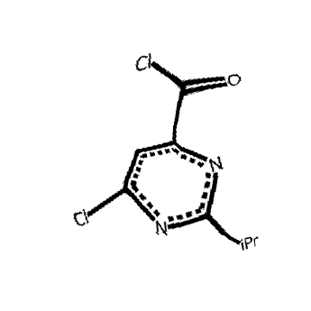 CC(C)c1nc(Cl)cc(C(=O)Cl)n1